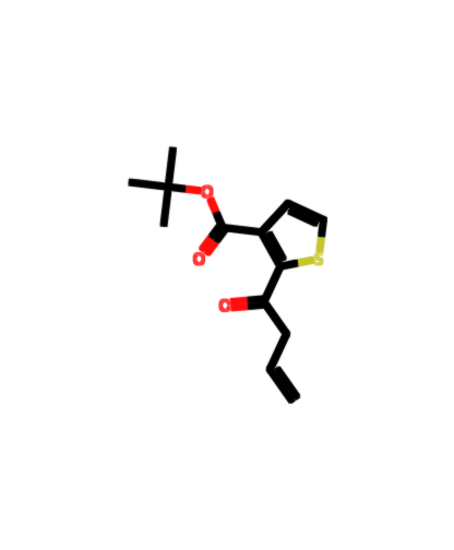 C=CCC(=O)c1sccc1C(=O)OC(C)(C)C